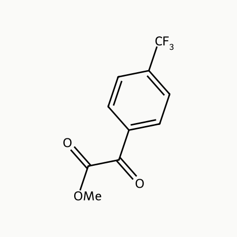 COC(=O)C(=O)c1ccc(C(F)(F)F)cc1